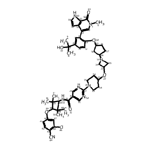 Cn1cc(-c2cc(C(C)(C)O)ccc2OC2CCC(N3CC(OC4CCN(c5ncc(C(=O)NC6C(C)(C)C(Oc7ccc(C#N)c(Cl)c7)C6(C)C)cn5)CC4)C3)C2)c2cc[nH]c2c1=O